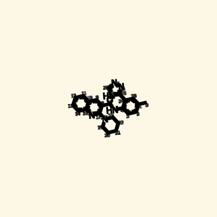 Cc1ccc(NC(=O)c2cc3ccccc3nc2N2CCCCC2)c(-c2nnc[nH]2)c1